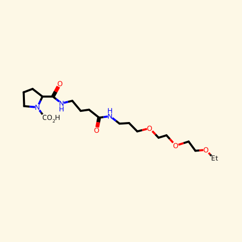 CCOCCOCCOCCCNC(=O)CCCNC(=O)C1CCCN1C(=O)O